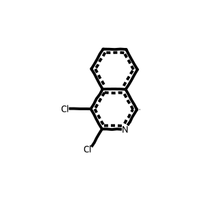 Clc1n[c]c2ccccc2c1Cl